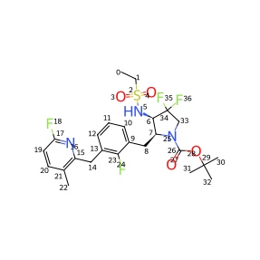 CCS(=O)(=O)N[C@@H]1[C@H](Cc2cccc(Cc3nc(F)ccc3C)c2F)N(C(=O)OC(C)(C)C)CC1(F)F